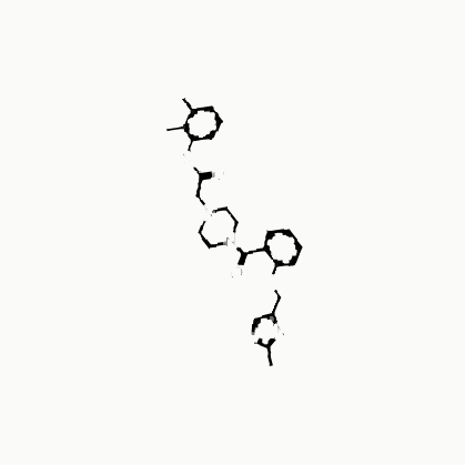 Cc1nc(COc2ccccc2C(=O)N2CCN(CC(=O)Nc3cccc(C)c3C)CC2)cs1